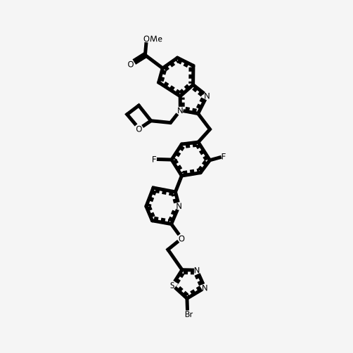 COC(=O)c1ccc2nc(Cc3cc(F)c(-c4cccc(OCc5nnc(Br)s5)n4)cc3F)n(CC3CCO3)c2c1